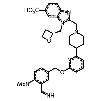 CNc1ccc(COc2cccc(C3CCN(Cc4nc5ccc(C(=O)O)cc5n4C[C@@H]4CCO4)CC3)n2)cc1C=N